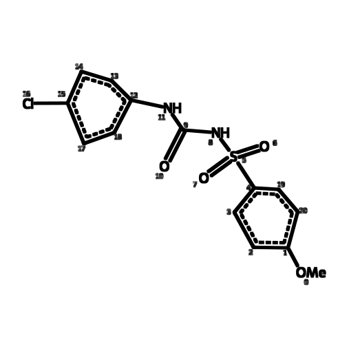 COc1ccc(S(=O)(=O)NC(=O)Nc2ccc(Cl)cc2)cc1